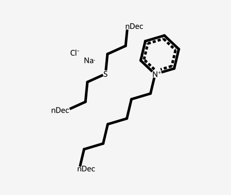 CCCCCCCCCCCCCCCC[n+]1ccccc1.CCCCCCCCCCCCSCCCCCCCCCCCC.[Cl-].[Na]